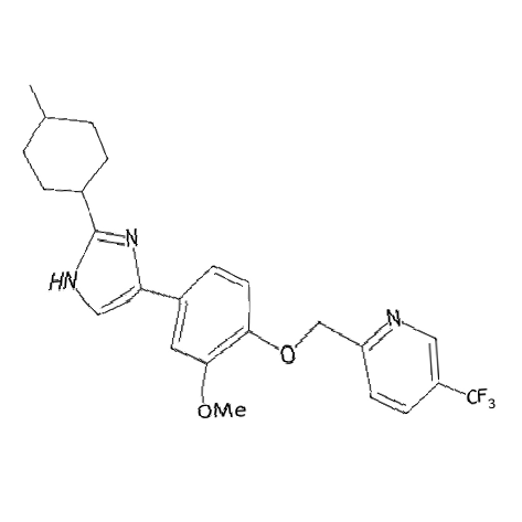 COc1cc(-c2c[nH]c(C3CCC(C)CC3)n2)ccc1OCc1ccc(C(F)(F)F)cn1